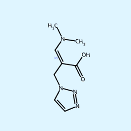 CN(C)/C=C(/Cn1ccnn1)C(=O)O